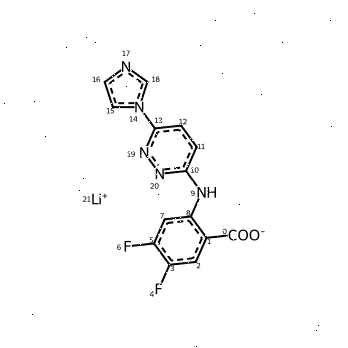 O=C([O-])c1cc(F)c(F)cc1Nc1ccc(-n2ccnc2)nn1.[Li+]